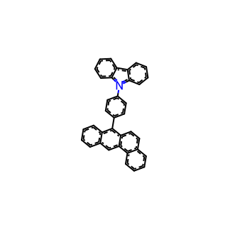 c1ccc2c(-c3ccc(-n4c5ccccc5c5ccccc54)cc3)c3ccc4ccccc4c3cc2c1